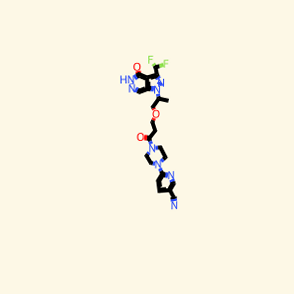 CC(COCCC(=O)N1CCN(c2ccc(C#N)cn2)CC1)n1nc(C(F)F)c2c(=O)[nH]ncc21